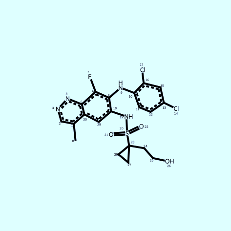 Cc1cnnc2c(F)c(Nc3ccc(Cl)cc3Cl)c(NS(=O)(=O)C3(CCO)CC3)cc12